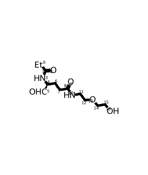 CCC(=O)N[C@H](C=O)CCC(=O)NCCOCCO